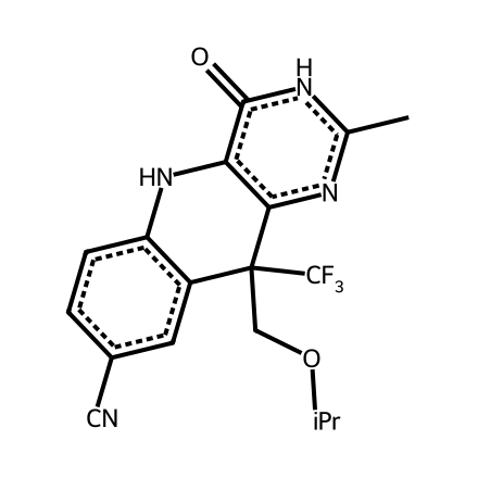 Cc1nc2c(c(=O)[nH]1)Nc1ccc(C#N)cc1C2(COC(C)C)C(F)(F)F